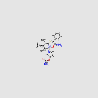 N#Cc1c(SC(C(N)=O)c2ccccc2)nc(N2CC[C@H](OC(N)=O)C2)c(C#N)c1C1CC1